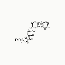 CCOC(=O)CS(=O)(=O)Nc1ccc(OC2CCN(Cc3cccnc3)CC2)c(Cl)c1